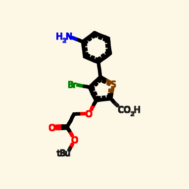 CC(C)(C)OC(=O)COc1c(C(=O)O)sc(-c2cccc(N)c2)c1Br